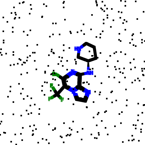 FC(F)(F)c1c(Br)nc(N[C@H]2CCCNC2)c2nccn12